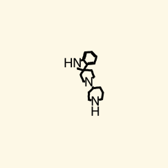 c1ccc2c(c1)NCC21CCN(C2CCCNCC2)CC1